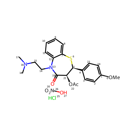 COc1ccc([C@@H]2Sc3ccccc3N(CCN(C)C)C(=O)[C@@H]2OC(C)=O)cc1.Cl.O=[N+]([O-])O